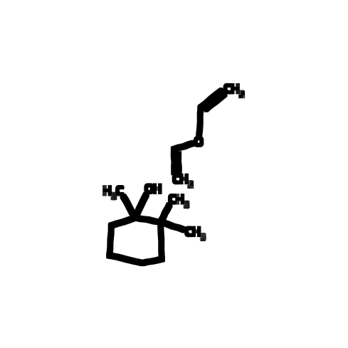 C=COC=C.CC1(C)CCCCC1(C)O